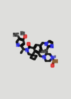 CCOc1cc([C@H](C)N2CC3(CCC3)c3c(CN4CC[N+](C)([SH]=O)CC4)cc(Cn4ccnc4NC)cc3C2=O)ncc1C#N